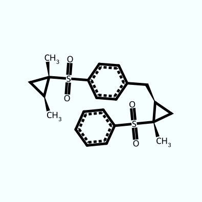 C[C@H]1C[C@]1(C)S(=O)(=O)c1ccc(C[C@H]2C[C@]2(C)S(=O)(=O)c2ccccc2)cc1